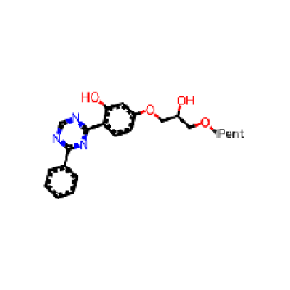 CCCC(C)OCC(O)COc1ccc(-c2ncnc(-c3ccccc3)n2)c(O)c1